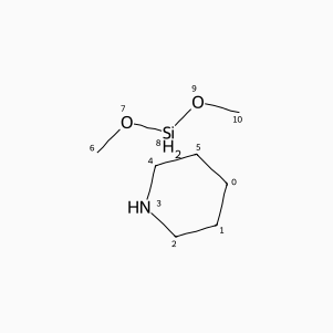 C1CCNCC1.CO[SiH2]OC